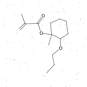 C=C(C)C(=O)OC1(C)CCCCC1OCCC